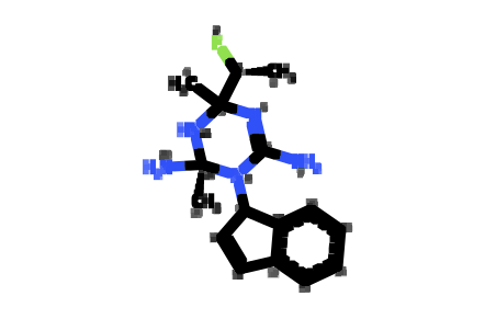 C[C@@H](F)C1(C)N=C(N)N(C2C=Cc3ccccc32)[C@@](C)(N)N1